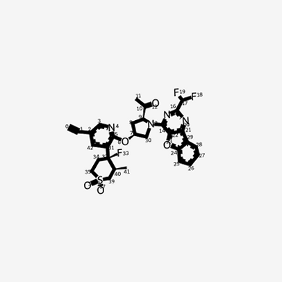 C#Cc1cnc(O[C@H]2C[C@@H](C(C)=O)N(c3nc(C(F)F)nc4c3oc3ccccc34)C2)c([C@@]2(F)CCS(=O)(=O)C[C@@H]2C)c1